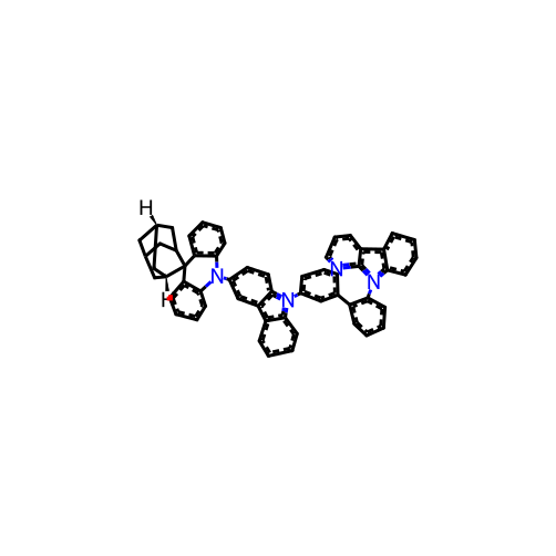 c1cc(-c2ccccc2-n2c3ccccc3c3cccnc32)cc(-n2c3ccccc3c3cc(N4c5ccccc5C5(c6ccccc64)C4CC6C[C@H](C4)C[C@H]5C6)ccc32)c1